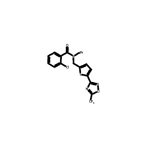 CC(C)N(Cc1ccc(-c2noc(C(F)(F)F)n2)s1)C(=O)c1ccccc1Cl